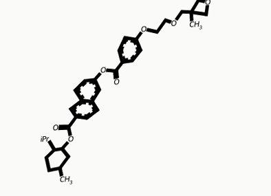 CC1CCC(C(C)C)C(OC(=O)c2ccc3cc(OC(=O)c4ccc(OCCOCC5(C)COC5)cc4)ccc3c2)C1